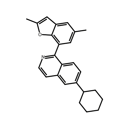 Cc1cc(-c2nccc3cc(C4CCCCC4)ccc23)c2oc(C)cc2c1